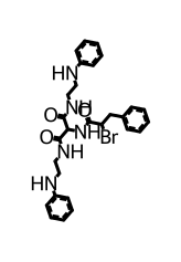 O=C(NC(C(=O)NCCNc1ccccc1)C(=O)NCCNc1ccccc1)C(Br)Cc1ccccc1